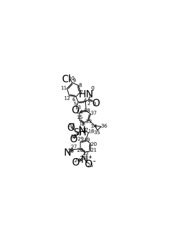 CNC(=O)c1c(-c2ccc(Cl)cc2)oc2cc(N(Cc3ccc([N+](=O)[O-])c(C#N)c3)[SH](=O)=O)c(C3CC3)cc12